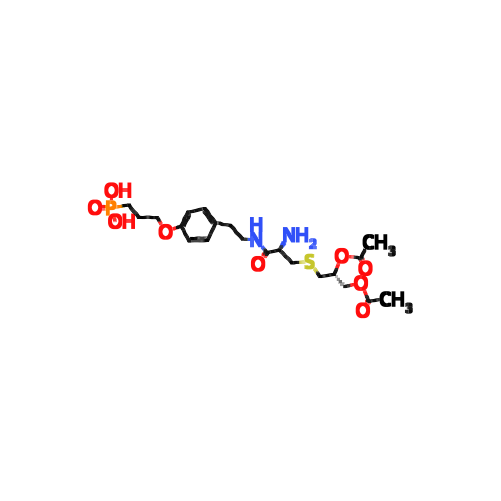 CC(=O)OC[C@H](CSC[C@H](N)C(=O)NCCc1ccc(OCCCP(=O)(O)O)cc1)OC(C)=O